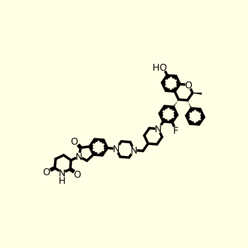 C[C@@H]1Oc2cc(O)ccc2[C@@H](c2ccc(N3CCC(CN4CCN(c5ccc6c(c5)CN(C5CCC(=O)NC5=O)C6=O)CC4)CC3)c(F)c2)[C@H]1c1ccccc1